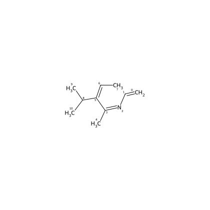 C=C/N=C(C)\C(=C/C)C(C)C